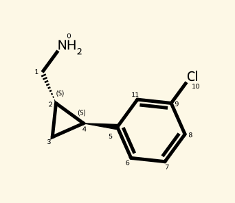 NC[C@H]1C[C@@H]1c1cccc(Cl)c1